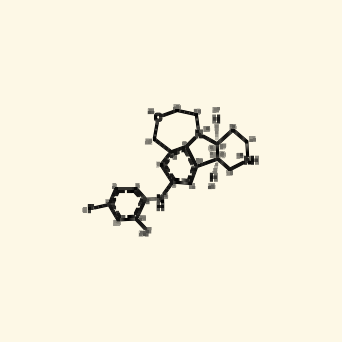 Fc1ccc(Nc2cc3c4c(c2)[C@@H]2CNCC[C@@H]2N4CCOC3)c(F)c1